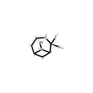 CC(C)N1C2CCO[C@H](F)C1C2